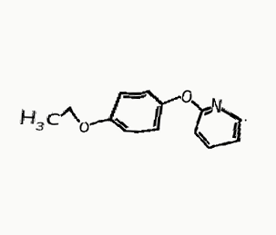 CCOc1ccc(Oc2ccc[c]n2)cc1